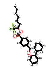 CCCCCCC(OC(=O)c1ccc(COc2ccccc2-c2ccccc2)cc1)C(F)(F)F